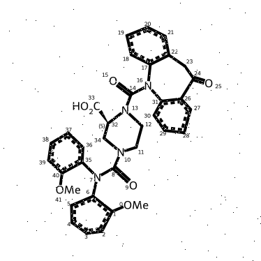 COc1ccccc1N(C(=O)N1CCN(C(=O)N2c3ccccc3CC(=O)c3ccccc32)[C@H](C(=O)O)C1)c1ccccc1OC